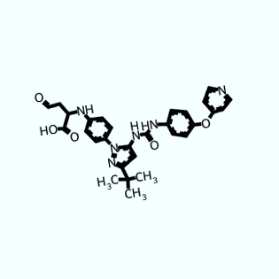 CC(C)(C)c1cc(NC(=O)Nc2ccc(Oc3ccncc3)cc2)n(-c2ccc(NC(CC=O)C(=O)O)cc2)n1